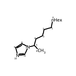 CCCCCCCCCCC(C)n1ccnc1